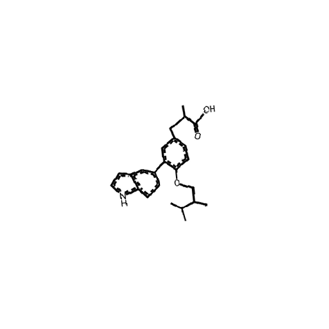 CC(Cc1ccc(OCC(C)C(C)C)c(-c2ccc3[nH]ccc3c2)c1)C(=O)O